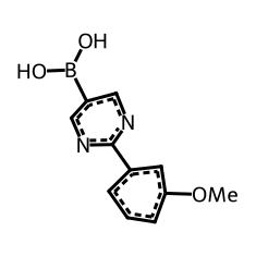 COc1cccc(-c2ncc(B(O)O)cn2)c1